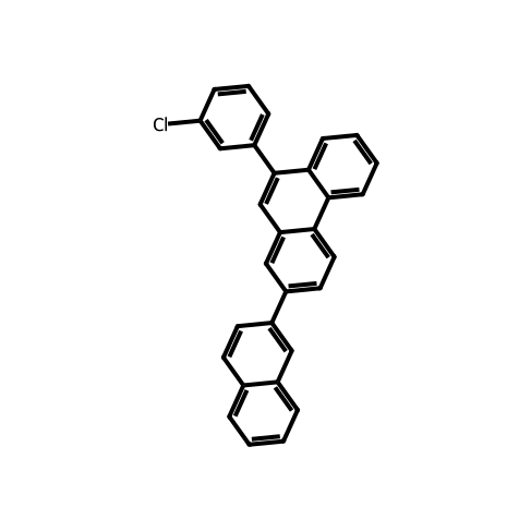 Clc1cccc(-c2cc3cc(-c4ccc5ccccc5c4)ccc3c3ccccc23)c1